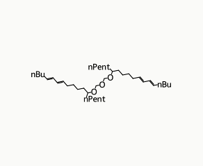 CCCCC=CC=CCCCCC(CCCCC)OCOCOC(CCCCC)CCCCC=CC=CCCCC